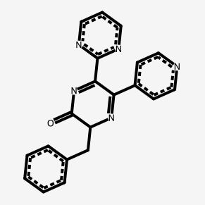 O=C1N=C(c2ncccn2)C(c2ccncc2)=NC1Cc1ccccc1